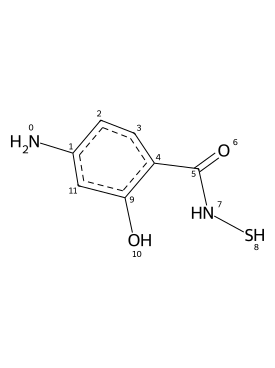 Nc1ccc(C(=O)NS)c(O)c1